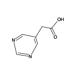 O=C(O)Cc1cncnc1